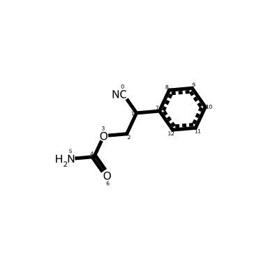 N#CC(COC(N)=O)c1ccccc1